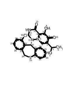 CC(O)c1cn2c(c(O)c1=O)C(=O)NCN2[C@@H]1c2ccccc2SCc2cccc(Cl)c21